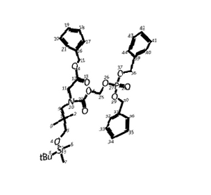 CC(C)(CO[Si](C)(C)C(C)(C)C)CN(CC(=O)OCc1ccccc1)C(=O)OCOP(=O)(OCc1ccccc1)OCc1ccccc1